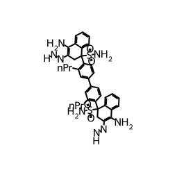 [H]/N=N/C1=C(N)c2ccccc2C(c2ccc(-c3ccc(C4(S(N)(=O)=O)CC(/N=N/[H])=C(N)c5ccccc54)c(CCC)c3)cc2CCC)(S(N)(=O)=O)C1